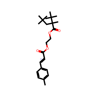 Cc1ccc(/C=C/C(=O)OCCOC(=O)C(C)(CC(C)(C)C)C(C)(C)C)cc1